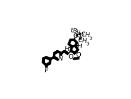 CC(C)(C)[Si](C)(C)O[C@@H]1CC[C@H]2[C@H](C1)CC1(OCCO1)[C@H]2C=Cc1ccc(-c2cccc(F)c2)cn1